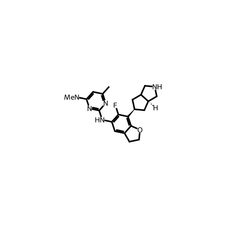 CNc1cc(C)nc(Nc2cc3c(c([C@H]4CC5CNC[C@H]5C4)c2F)OCC3)n1